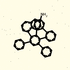 Nc1cccc(-c2ccccc2-c2c(-c3ccccc3)cc(-c3ccccc3)c3c2-c2cccc4cccc-3c24)c1